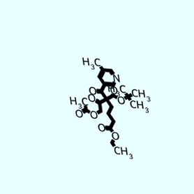 CCOC(=O)CCCC(C(=O)COC(C)=O)(C(=O)OC(C)(C)C)C(=O)c1cncc(C)c1